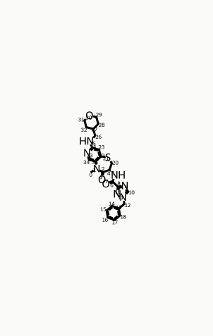 CN1C(=O)[C@@H](NC(=O)c2ncn(Cc3ccccc3)n2)CSc2cc(NCC3CCOCC3)ncc21